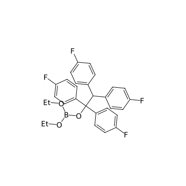 CCOB(OCC)OC(c1ccc(F)cc1)(c1ccc(F)cc1)C(c1ccc(F)cc1)c1ccc(F)cc1